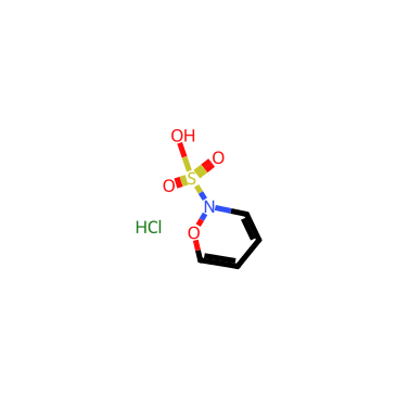 Cl.O=S(=O)(O)N1C=CC=CO1